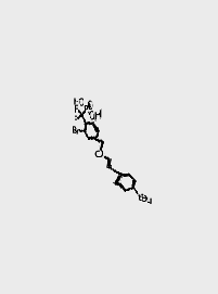 CC(C)(C)c1ccc(CCOCc2ccc(C(F)(F)P(=O)(O)O)c(Br)c2)cc1